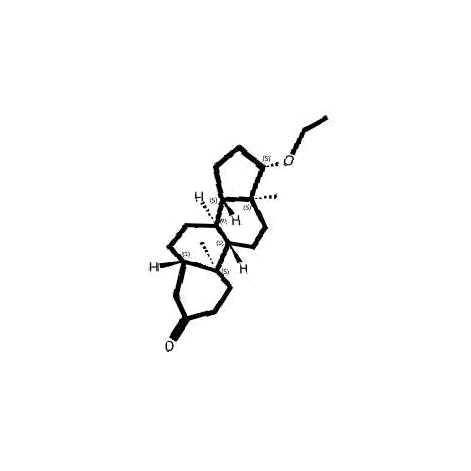 CCO[C@H]1CC[C@H]2[C@@H]3CC[C@H]4CC(=O)CC[C@]4(C)[C@H]3CC[C@]12C